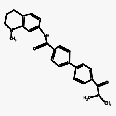 CN(C)C(=O)c1ccc(-c2ccc(C(=O)Nc3ccc4c(c3)N(C)CCC4)cc2)cc1